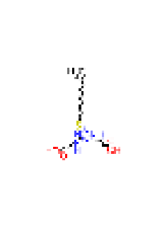 CCCCCCCCCCCCSc1nc(NCCCC(=O)O)nc(NCCCC(=O)O)n1